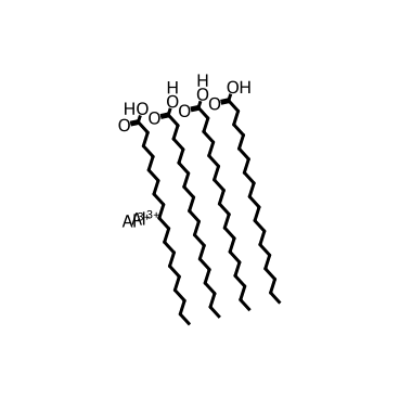 CCCCCCCCCCCCCCCCCC(=O)O.CCCCCCCCCCCCCCCCCC(=O)O.CCCCCCCCCCCCCCCCCC(=O)O.CCCCCCCCCCCCCCCCCC(=O)O.[Al+3].[Al+3]